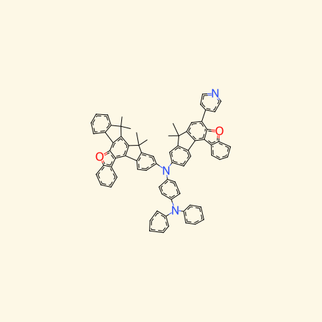 CC1(C)c2cc(N(c3ccc(N(c4ccccc4)c4ccccc4)cc3)c3ccc4c(c3)C(C)(C)c3c5c(c6oc7ccccc7c6c3-4)-c3ccccc3C5(C)C)ccc2-c2c1cc(-c1ccncc1)c1oc3ccccc3c21